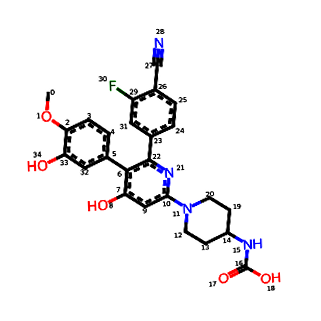 COc1ccc(-c2c(O)cc(N3CCC(NC(=O)O)CC3)nc2-c2ccc(C#N)c(F)c2)cc1O